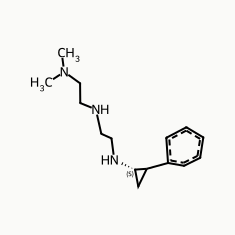 CN(C)CCNCCN[C@H]1CC1c1ccccc1